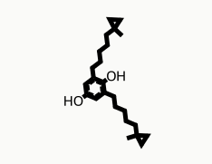 CC1(CCCCCc2cc(O)cc(CCCCCC3(C)CC3)c2O)CC1